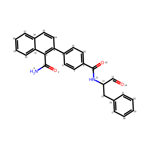 NC(=O)c1c(-c2ccc(C(=O)NC(C=O)Cc3ccccc3)cc2)ccc2ccccc12